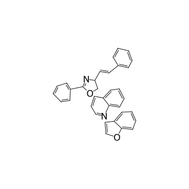 C(=CC1COC(c2ccccc2)=N1)c1ccccc1.c1ccc2ncccc2c1.c1ccc2occc2c1